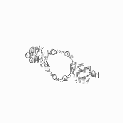 O=P(O)(O)c1cccc(CN2CCOCCOCCN(Cc3cccc(O)n3)CCOCCOCC2)n1